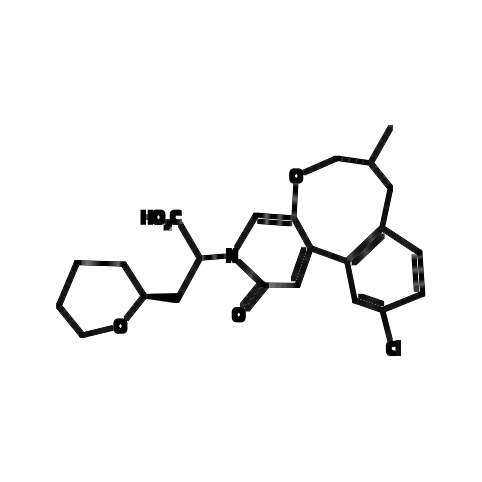 CC1COc2cn(C(C[C@@H]3CCCCO3)C(=O)O)c(=O)cc2-c2cc(Cl)ccc2C1